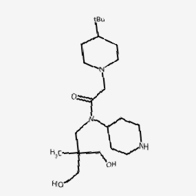 CC(CO)(CO)CN(C(=O)CN1CCC(C(C)(C)C)CC1)C1CCNCC1